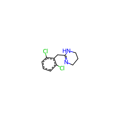 Clc1cccc(Cl)c1CC1=NCCCN1